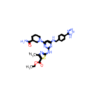 CCOC(=O)c1sc(Nc2nc(NCc3ccc(-c4nnn[nH]4)cc3)cc(N3CCCC(C(N)=O)C3)n2)nc1C